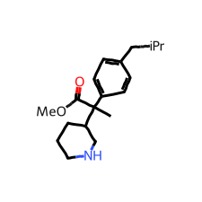 COC(=O)C(C)(c1ccc(CC(C)C)cc1)C1CCCNC1